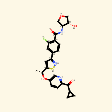 C[C@@H](Oc1ccc(C(=O)C2CC2)nc1)c1cc(-c2ccc(C(=O)N[C@H]3COC[C@@H]3O)c(F)c2)ns1